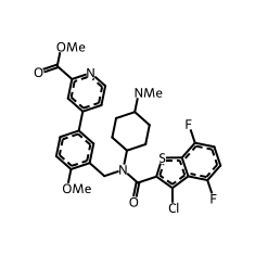 CNC1CCC(N(Cc2cc(-c3ccnc(C(=O)OC)c3)ccc2OC)C(=O)c2sc3c(F)ccc(F)c3c2Cl)CC1